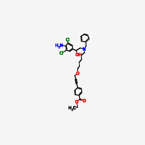 CCOC(=O)c1ccc(C#CCOCCCCCCN(Cc2ccccc2)CC(O)c2cc(Cl)c(N)c(Cl)c2)cc1